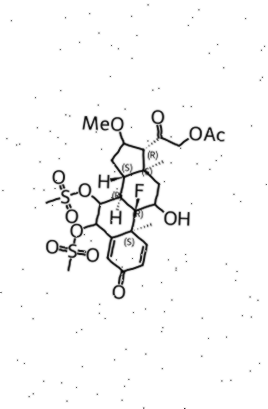 COC1C[C@H]2[C@@H]3C(OS(C)(=O)=O)C(OS(C)(=O)=O)C4=CC(=O)C=C[C@]4(C)[C@@]3(F)C(O)C[C@]2(C)[C@H]1C(=O)COC(C)=O